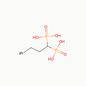 CC(C)CCC(P(=O)(O)O)P(=O)(O)O